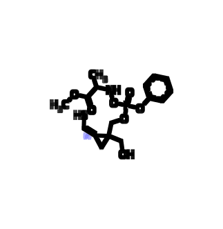 COC(=O)C(C)NOP(=O)(OCC1(CO)C/C1=C/S)Oc1ccccc1